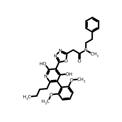 CCCCc1nc(O)c(-c2nnc(CC(=O)N(C)CCc3ccccc3)o2)c(O)c1-c1c(OC)cccc1OC